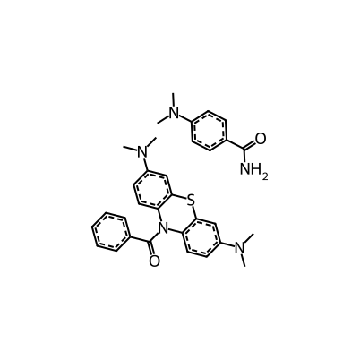 CN(C)c1ccc(C(N)=O)cc1.CN(C)c1ccc2c(c1)Sc1cc(N(C)C)ccc1N2C(=O)c1ccccc1